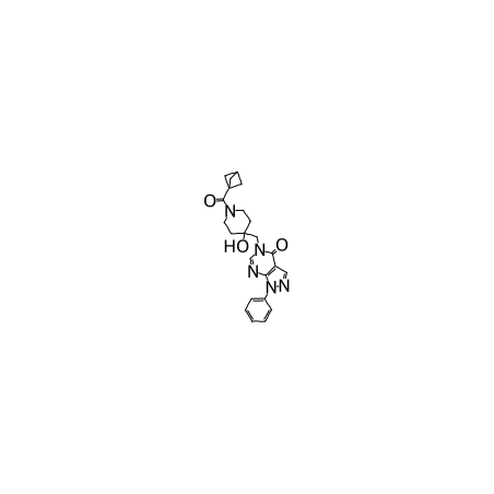 O=C(N1CCC(O)(Cn2cnc3c(cnn3-c3ccccc3)c2=O)CC1)C12CC(C1)C2